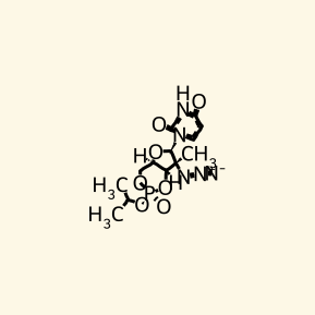 CC(C)O[P@]1(=O)OC[C@H]2O[C@@H](n3ccc(=O)[nH]c3=O)[C@](C)(N=[N+]=[N-])[C@@H]2O1